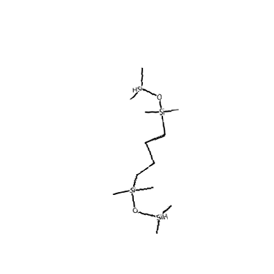 C[SiH](C)O[Si](C)(C)CCCC[Si](C)(C)O[SiH](C)C